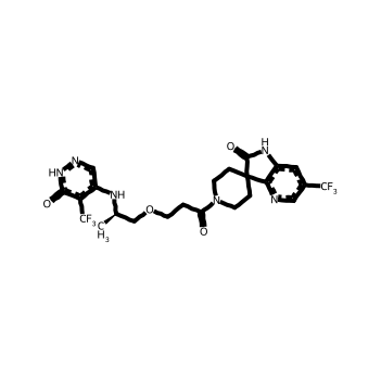 C[C@H](COCCC(=O)N1CCC2(CC1)C(=O)Nc1cc(C(F)(F)F)cnc12)Nc1cn[nH]c(=O)c1C(F)(F)F